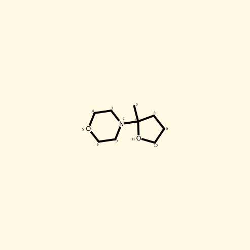 CC1(N2CCOCC2)CCCO1